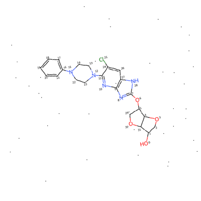 OC1COC2C(Oc3nc4nc(N5CCN(c6ccccc6)CC5)c(Cl)cc4[nH]3)COC12